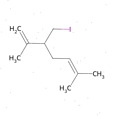 C=C(C)C(CI)CC=C(C)C